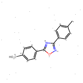 Cc1ccc(-c2noc(-c3ccc(C(=O)O)cc3)n2)cc1